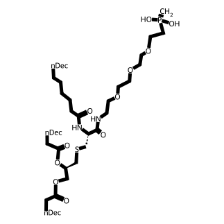 C=P(O)(O)CCOCCOCCOCCNC(=O)[C@H](CSC[C@@H](COC(=O)CCCCCCCCCCC)OC(=O)CCCCCCCCCCC)NC(=O)CCCCCCCCCCCCCCC